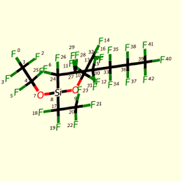 FC(F)(F)C(F)(F)O[Si](OC(F)(F)C(F)(F)F)(C(F)(F)C(F)(F)F)C(F)(F)C(F)(F)C(F)(F)C(F)(F)C(F)(F)C(F)(F)F